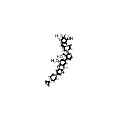 Cn1cc(-c2ccnc(-n3ccn4c5c(cc4c3=O)CC(C)(C)[C@@H]5O)c2CO)cc(Nc2ccc(N3CCN(C4COC4)CC3)cn2)c1=O